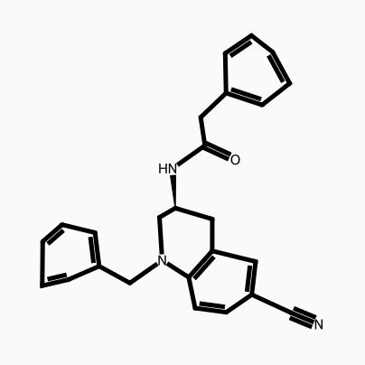 N#Cc1ccc2c(c1)C[C@H](NC(=O)Cc1ccccc1)CN2Cc1ccccc1